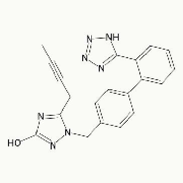 CC#CCc1nc(O)nn1Cc1ccc(-c2ccccc2-c2nnn[nH]2)cc1